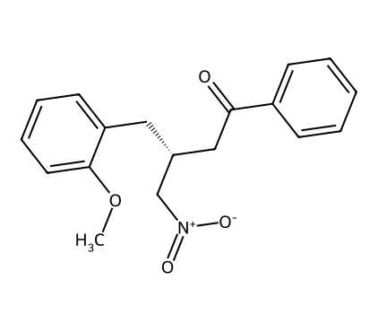 COc1ccccc1C[C@H](CC(=O)c1ccccc1)C[N+](=O)[O-]